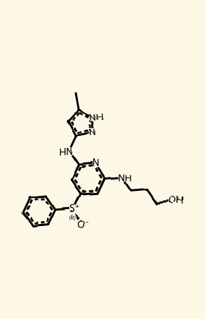 Cc1cc(Nc2cc([S@@+]([O-])c3ccccc3)cc(NCCCO)n2)n[nH]1